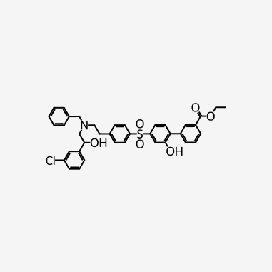 CCOC(=O)c1cccc(-c2ccc(S(=O)(=O)c3ccc(CCN(Cc4ccccc4)CC(O)c4cccc(Cl)c4)cc3)cc2O)c1